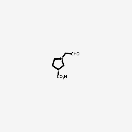 O=CCN1CC[C@H](C(=O)O)C1